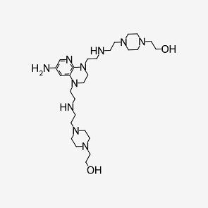 Nc1cnc2c(c1)N(CCNCCN1CCN(CCO)CC1)CCN2CCNCCN1CCN(CCO)CC1